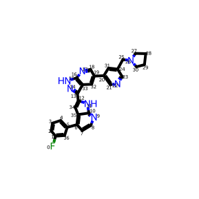 Fc1cccc(-c2ccnc3[nH]c(-c4n[nH]c5ncc(-c6cncc(CN7CCCC7)c6)cc45)cc23)c1